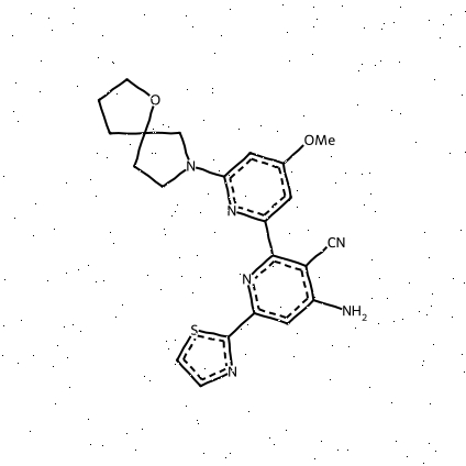 COc1cc(-c2nc(-c3nccs3)cc(N)c2C#N)nc(N2CCC3(CCCO3)C2)c1